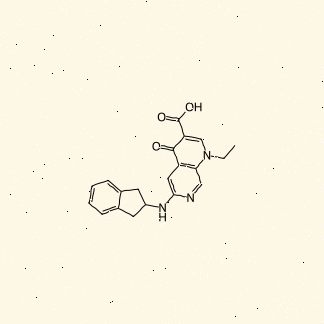 CCn1cc(C(=O)O)c(=O)c2cc(NC3Cc4ccccc4C3)ncc21